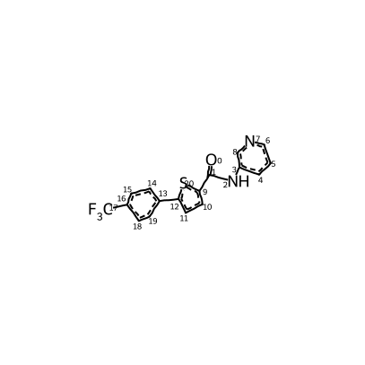 O=C(Nc1cccnc1)c1ccc(-c2ccc(C(F)(F)F)cc2)s1